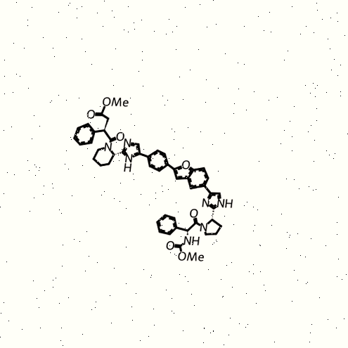 COC(=O)C[C@@H](C(=O)N1CCCC[C@H]1c1ncc(-c2ccc(-c3cc4cc(-c5c[nH]c([C@@H]6CCCN6C(=O)[C@H](NC(=O)OC)c6ccccc6)n5)ccc4o3)cc2)[nH]1)c1ccccc1